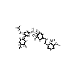 COc1cccc(/C=N/c2cnc(S(=O)(=O)Nc3nc(-c4ccc(F)c(F)c4)c(CC4CC4)s3)c(C)c2)c1O